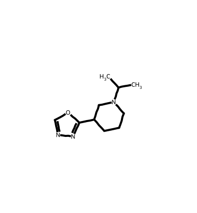 CC(C)N1CCCC(c2nnco2)C1